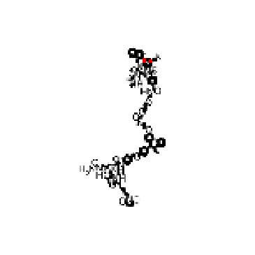 CC/C(=C(/c1ccc(OCCN(C)C(=O)COCCOCCNC(=O)c2ccc(C(=O)N3c4cc(C#N)ccc4N(Cc4c(OC)ccc5ccccc45)C(=O)[C@@H](NC(=O)[C@H](C)NC)[C@@H]3C)cc2)cc1)c1ccc(OCc2ccc(NC(=O)[C@H](CCCNC(N)=O)NC(=O)[C@@H](NC(=O)CCCCCN3C(=O)C=CC3=O)C(C)C)cc2)cc1)c1ccccc1